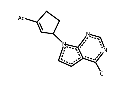 CC(=O)C1=CC(n2ccc3c(Cl)ncnc32)CC1